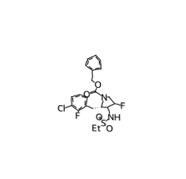 CCS(=O)(=O)NC1C(F)CN(C(=O)OCc2ccccc2)[C@H]1Cc1cccc(Cl)c1F